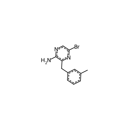 Cc1cccc(Cc2nc(Br)cnc2N)c1